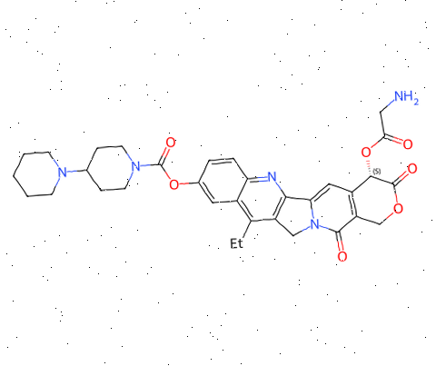 CCc1c2c(nc3ccc(OC(=O)N4CCC(N5CCCCC5)CC4)cc13)-c1cc3c(c(=O)n1C2)COC(=O)[C@H]3OC(=O)CN